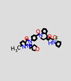 Cc1ccc(C(=O)Nc2ccc(C(=O)N3CCc4cc(C(=O)Nc5ccccc5F)oc4-c4ccccc43)cc2)c(N2CC3(CCOCC3)C2)n1